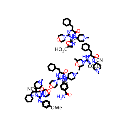 CCOC(=O)N=C(NC(CC1CCCCC1)C(=O)NC1(C#N)CCN(C)CC1)N1CC(C)OC(C)C1.CN1CCC(C#N)(NC(=O)C(CC2CCCCC2)N=C(Nc2ccc(C(N)=O)cc2)N2CCOCC2)CC1.CN1CCC(C#N)(NC(=O)C(CC2CCCCC2)N=C(Nc2ncc(C(=O)O)o2)N2CCOCC2)CC1.COc1ccc(N=C(NC(CC2CCCCC2)(C(N)=O)C2(C#N)CCN(C)CC2)N2CCOCC2)cc1